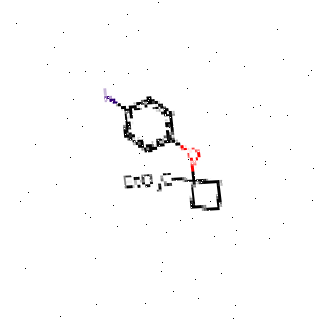 CCOC(=O)C1(Oc2ccc(I)cc2)CCC1